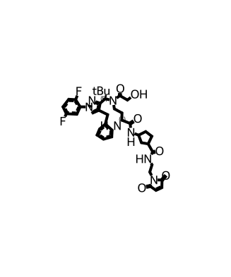 CC(C)(C)[C@H](c1nn(-c2cc(F)ccc2F)cc1Cc1ccccc1)N(CC[C@H](N)C(=O)NC1CCC(C(=O)NCCN2C(=O)C=CC2=O)C1)C(=O)CO